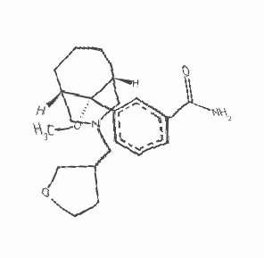 CO[C@@]1(c2cccc(C(N)=O)c2)[C@@H]2CCC[C@H]1CN(CC1CCOC1)C2